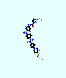 CCOC1CCN(c2ccc(C(=O)Nc3ccc(Nc4ccc(NC(=O)c5ccn(C)n5)cc4F)cc3)cc2)CC1